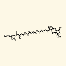 CSC(C)CCNC(=O)CCOCCOCCOCCOCCn1cc(CN2C(=O)CC(C(C)(C)C)C2=O)nn1